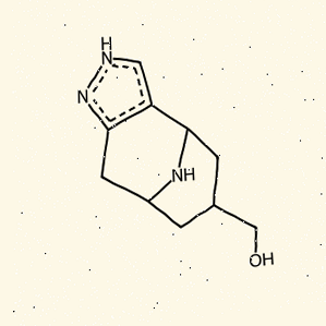 OCC1CC2Cc3n[nH]cc3C(C1)N2